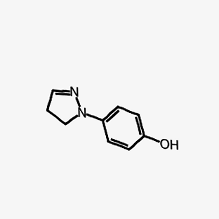 Oc1ccc(N2CCC=N2)cc1